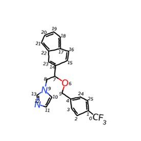 FC(F)(F)c1ccc(COC(Cn2ccnc2)c2ccc3ccccc3c2)cc1